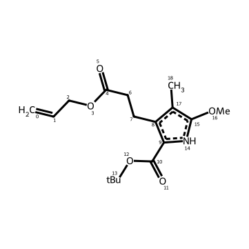 C=CCOC(=O)CCc1c(C(=O)OC(C)(C)C)[nH]c(OC)c1C